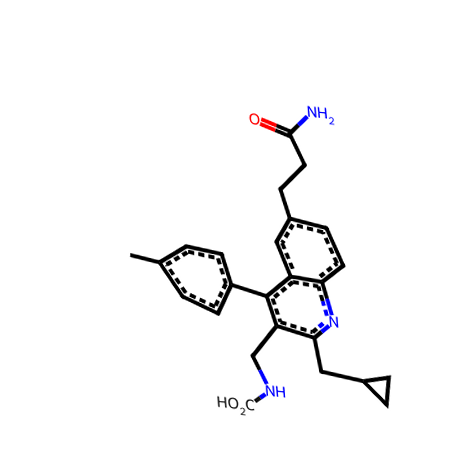 Cc1ccc(-c2c(CNC(=O)O)c(CC3CC3)nc3ccc(CCC(N)=O)cc23)cc1